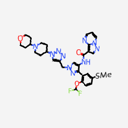 CSc1ccc(OC(F)F)c(-c2nn(Cc3cn(C4CCN(C5CCOCC5)CC4)nn3)cc2NC(=O)c2cnn3cccnc23)c1